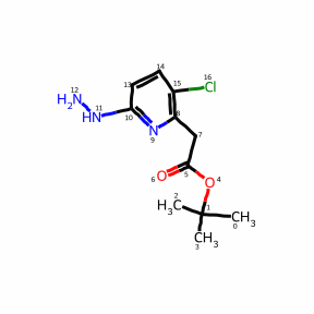 CC(C)(C)OC(=O)Cc1nc(NN)ccc1Cl